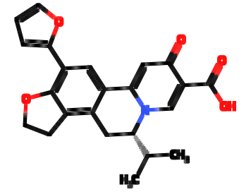 CC(C)[C@@H]1Cc2c(cc(-c3ccco3)c3c2CCO3)-c2cc(=O)c(C(=O)O)cn21